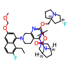 CCc1c(F)ccc2cc(OCOC)cc(N3CCc4c(nc(OC[C@@]56CCCN5C[C@H](F)C6)nc4N4C[C@H]5CC[C@@H](C4)N5C(=O)OC(C)(C)C)C3)c12